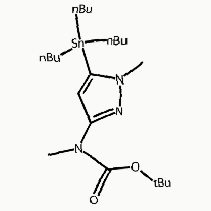 CCC[CH2][Sn]([CH2]CCC)([CH2]CCC)[c]1cc(N(C)C(=O)OC(C)(C)C)nn1C